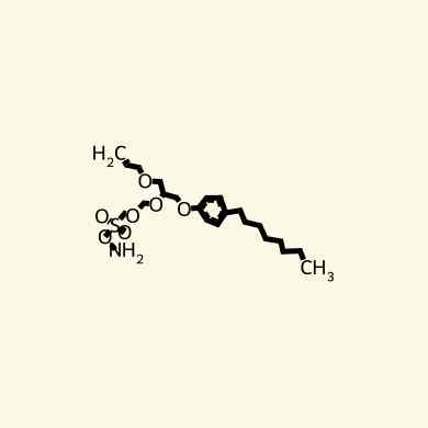 C=CCOCC(COc1ccc(CCCCCCCC)cc1)OCOCS(=O)(=O)ON